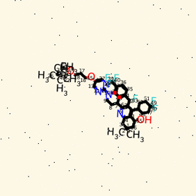 CC1(C)Cc2nc(C3CCN(c4ncc(OCCCO[Si](C)(C)C(C)(C)C)cn4)CC3)c([C@@H](F)c3ccc(C(F)(F)F)cc3)c(C3CCC(F)(F)CC3)c2[C@@H](O)C1